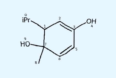 CC(C)C1C=C(O)C=CC1(C)O